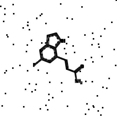 NC(=O)C=Cc1cc(F)cc2cc[nH]c12